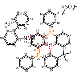 CC1(C)c2cccc(P(c3ccccc3)c3ccccc3)c2Oc2c([PH+](c3ccccc3)c3ccccc3)cccc21.CS(=O)(=O)O.C[N-]c1ccccc1-c1[c-]cccc1.[Pd+2]